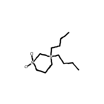 CCCC[Si]1(CCCC)CCC[Si](Cl)(Cl)C1